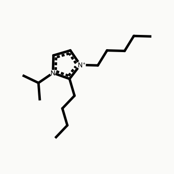 CCCCC[n+]1ccn(C(C)C)c1CCCC